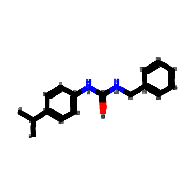 CC(C)c1ccc(NC(=O)NCc2ccccc2)cc1